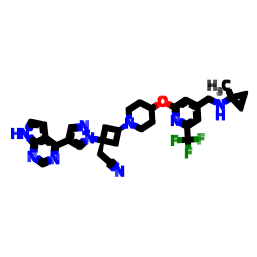 CC1(NCc2cc(OC3CCN([C@H]4C[C@](CC#N)(n5cc(-c6ncnc7[nH]ccc67)cn5)C4)CC3)nc(C(F)(F)F)c2)CC1